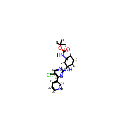 CC(C)(C)OC(=O)N[C@H]1CCC[C@@H](Nc2ncc(Cl)c(-c3cccnc3)n2)C1